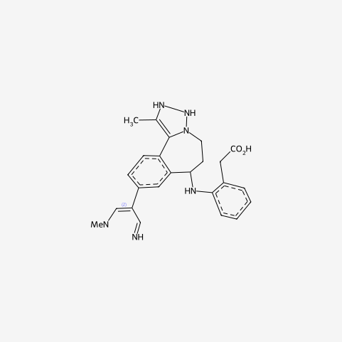 CN/C=C(\C=N)c1ccc2c(c1)C(Nc1ccccc1CC(=O)O)CCN1NNC(C)=C21